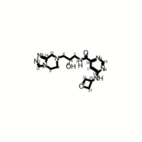 O=C(NC[C@H](O)CN1CCn2cnnc2C1)c1cc(NC2COC2)ncn1